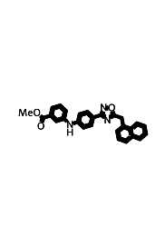 COC(=O)c1cccc(Nc2ccc(-c3noc(Cc4cccc5ccccc45)n3)cc2)c1